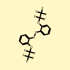 FC(F)(F)C(F)(F)Oc1ccccc1SSc1ccccc1OC(F)(F)C(F)(F)F